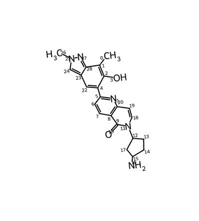 Cc1c(O)c(-c2ccc3c(=O)n(C4CCC(N)C4)ccc3n2)cc2cn(C)nc12